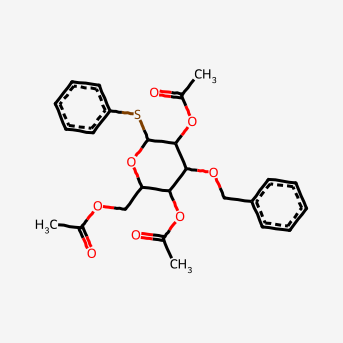 CC(=O)OCC1OC(Sc2ccccc2)C(OC(C)=O)C(OCc2ccccc2)C1OC(C)=O